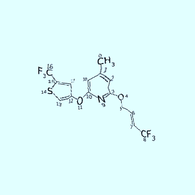 Cc1cc(OCC=CC(F)(F)F)nc(Oc2csc(C(F)(F)F)c2)c1